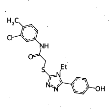 CCn1c(SCC(=O)Nc2ccc(C)c(Cl)c2)nnc1-c1ccc(O)cc1